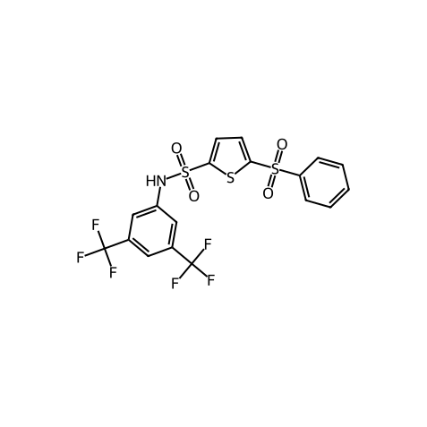 O=S(=O)(Nc1cc(C(F)(F)F)cc(C(F)(F)F)c1)c1ccc(S(=O)(=O)c2ccccc2)s1